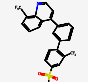 CS(=O)(=O)c1ccc(-c2cccc(-c3ccnc4c(C(F)(F)F)cccc34)c2)c(C(F)(F)F)c1